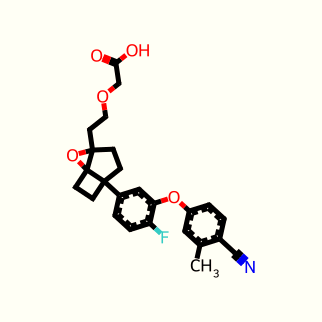 Cc1cc(Oc2cc(C34CCC5(CCOCC(=O)O)OC53CC4)ccc2F)ccc1C#N